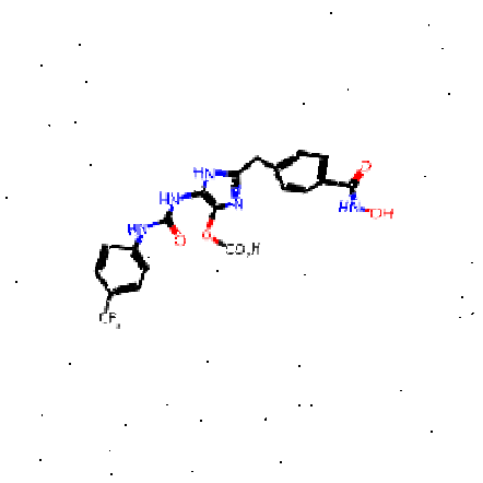 O=C(Nc1ccc(C(F)(F)F)cc1)Nc1[nH]c(Cc2ccc(C(=O)NO)cc2)nc1OC(=O)O